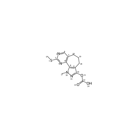 CSc1ncc2c(n1)-c1c(c(OC(=O)O)nn1C)CCC2